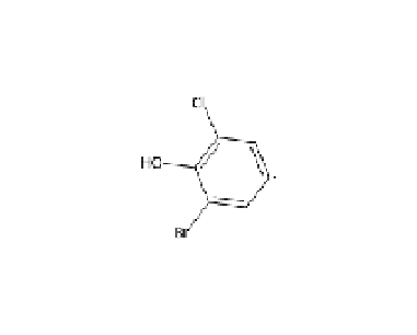 Oc1c(Cl)c[c]cc1Br